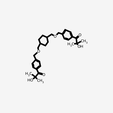 CC(C)(O)C(=O)c1ccc(COCC2CCC(COCc3ccc(C(=O)C(C)(C)O)cc3)CC2)cc1